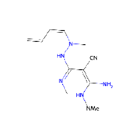 C=C/C=C\N(C)NC(=N/C)/C(C#N)=C(/N)NNC